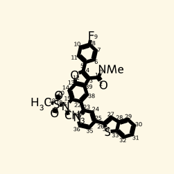 CNC(=O)c1c(-c2ccc(F)cc2)oc2cc(N(C)S(C)(=O)=O)c(-c3cc(-c4cc5ccccc5s4)ccn3)cc12